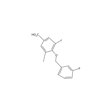 O=C(O)c1cc(I)c(OCc2cccc(F)c2)c(I)c1